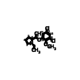 CCN1CCCC1C(C)Oc1cc(Cl)cc(Cl)c1OC